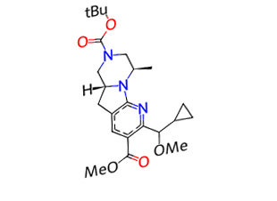 COC(=O)c1cc2c(nc1C(OC)C1CC1)N1[C@H](C2)CN(C(=O)OC(C)(C)C)C[C@H]1C